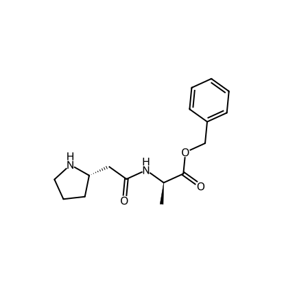 C[C@@H](NC(=O)C[C@@H]1CCCN1)C(=O)OCc1ccccc1